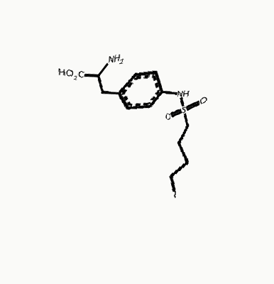 NC(Cc1ccc(NS(=O)(=O)CCCCI)cc1)C(=O)O